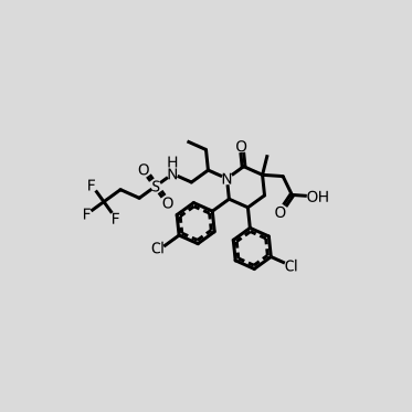 CCC(CNS(=O)(=O)CCC(F)(F)F)N1C(=O)C(C)(CC(=O)O)CC(c2cccc(Cl)c2)C1c1ccc(Cl)cc1